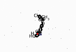 C[C@]1(c2ccc(Cl)cc2Cl)OC[C@@H](COc2ccc(N3CCN(N(/N=C\c4ccc(O)cc4)C(N)=O)CC3)cc2)O1